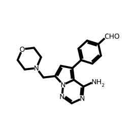 Nc1ncnn2c(CN3CCOCC3)cc(-c3ccc(C=O)cc3)c12